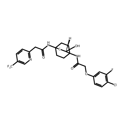 O=C(Cc1ccc(C(F)(F)F)cn1)NC12CCC(NC(=O)COc3ccc(Cl)c(F)c3)(CC1)[C@@H](O)C2